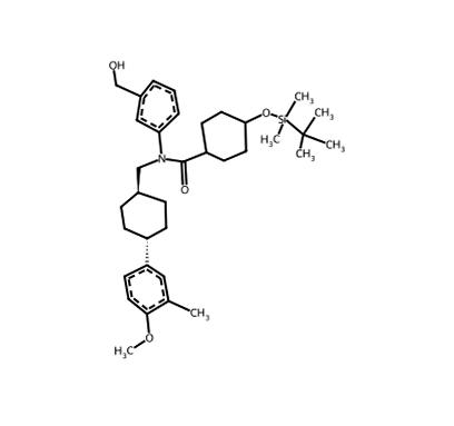 COc1ccc([C@H]2CC[C@H](CN(C(=O)C3CCC(O[Si](C)(C)C(C)(C)C)CC3)c3cccc(CO)c3)CC2)cc1C